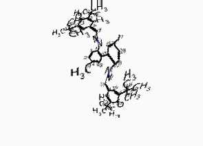 Cc1ccc(/N=N/C=C2C=C(C(C)(C)C)C(=O)C(C(C)(C)C)=C2)c(-c2cc(I)ccc2/N=N/C=C2C=C(C(C)(C)C)C(=O)C(C(C)(C)C)=C2)c1